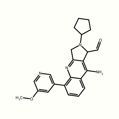 COc1cncc(-c2cccc3c(N)c4c(nc23)CN(C2CCCC2)C4C=O)c1